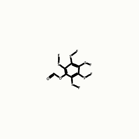 O=[C]Oc1c(SF)c(SF)c(SF)c(SF)c1SF